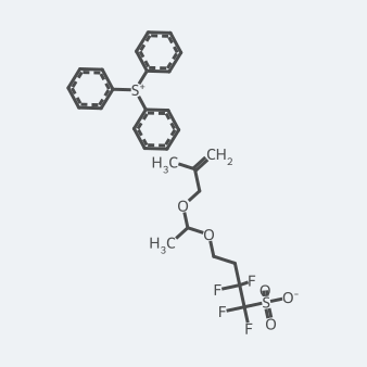 C=C(C)COC(C)OCCC(F)(F)C(F)(F)S(=O)(=O)[O-].c1ccc([S+](c2ccccc2)c2ccccc2)cc1